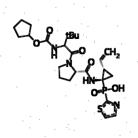 C=C[C@@H]1C[C@]1(NC(=O)[C@@H]1CCCN1C(=O)C(NC(=O)OC1CCCC1)C(C)(C)C)P(=O)(O)c1nccs1